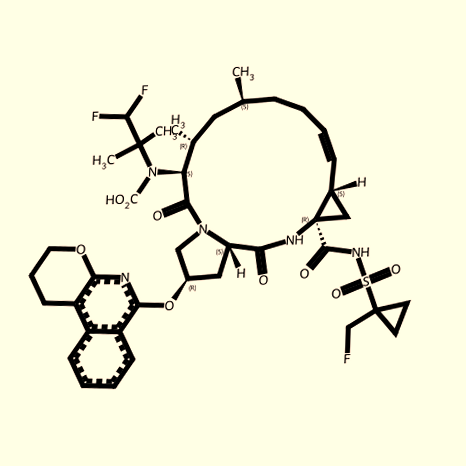 C[C@H]1CCC=C[C@@H]2C[C@@]2(C(=O)NS(=O)(=O)C2(CF)CC2)NC(=O)[C@@H]2C[C@@H](Oc3nc4c(c5ccccc35)CCCO4)CN2C(=O)[C@@H](N(C(=O)O)C(C)(C)C(F)F)[C@H](C)C1